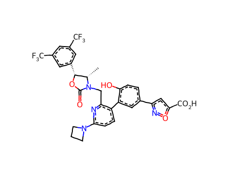 C[C@H]1[C@@H](c2cc(C(F)(F)F)cc(C(F)(F)F)c2)OC(=O)N1Cc1nc(N2CCC2)ccc1-c1cc(-c2cc(C(=O)O)on2)ccc1O